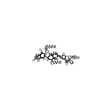 COCOc1c(-c2cc(OC)c3nc(N4CCC(N(C)C(=O)OC(C)(C)C)C4)cnc3n2)cc2cn(C)nc2c1C